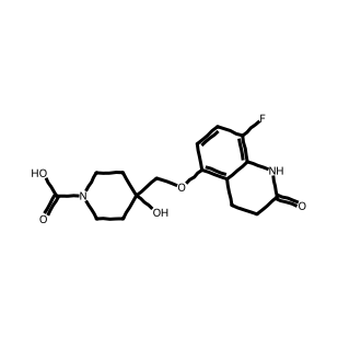 O=C1CCc2c(OCC3(O)CCN(C(=O)O)CC3)ccc(F)c2N1